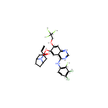 C=CC(=O)N1C2CCC1CC(Oc1cc3c(Nc4ccc(Cl)c(Cl)c4F)ncnc3cc1OCC(F)(F)F)C2